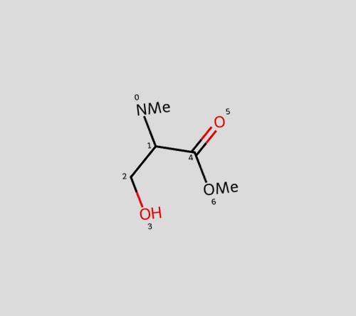 CNC(CO)C(=O)OC